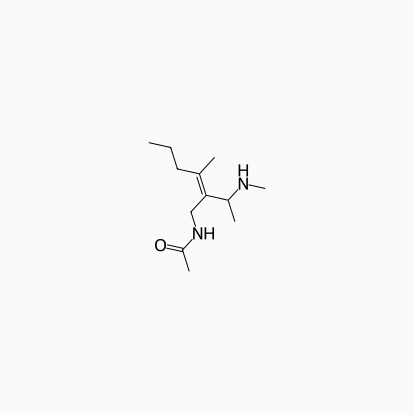 CCC/C(C)=C(\CNC(C)=O)C(C)NC